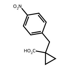 O=C(O)C1(Cc2ccc([N+](=O)[O-])cc2)CC1